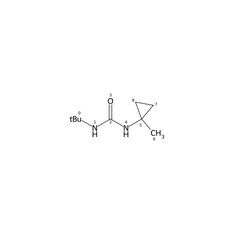 CC(C)(C)NC(=O)NC1(C)CC1